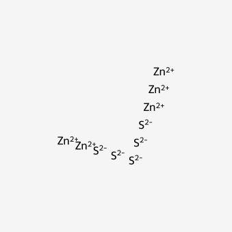 [S-2].[S-2].[S-2].[S-2].[S-2].[Zn+2].[Zn+2].[Zn+2].[Zn+2].[Zn+2]